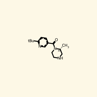 C[C@@H]1CNCCN1C(=O)c1ccc(C(C)(C)C)nc1